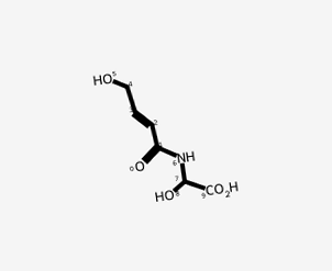 O=C(C=CCO)NC(O)C(=O)O